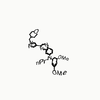 CCCN(c1cc(OC)cc(OC)c1)c1ccc2ncc(-c3cnn(CC4CCOCC4)c3)nc2c1